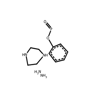 C1CNCCN1.N.N.O=POc1ccccc1